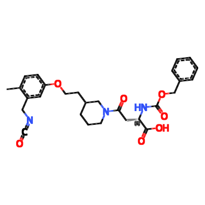 Cc1ccc(OCCC2CCCN(C(=O)C[C@H](NC(=O)OCc3ccccc3)C(=O)O)C2)cc1CN=C=O